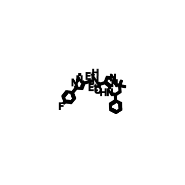 CCC(CC)(NC(=O)c1cnn2c1NC(c1ccccc1)CC2(C)C)c1cc(-c2ccc(F)cc2)nn1C